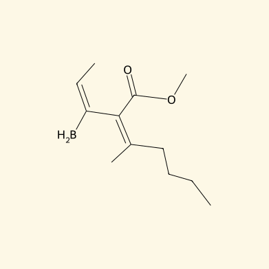 BC(=C/C)/C(C(=O)OC)=C(\C)CCCC